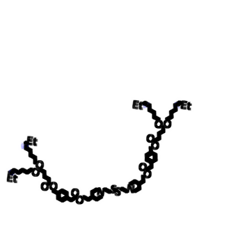 CC/C=C\CCCCOC(CCCC(=O)OCc1ccc(CC(=O)OCCC2CCN(CCSSCCN3CCC(CCOC(=O)Cc4ccc(COC(=O)CCCC(OCCCC/C=C\CC)OCCCC/C=C\CC)cc4)CC3)CC2)cc1)OCCCC/C=C\CC